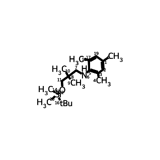 Cc1cc(C)c(NCC(C)(C)CO[Si](C)(C)C(C)(C)C)c(C)c1